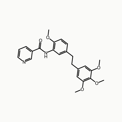 COc1ccc(CCc2cc(OC)c(OC)c(OC)c2)cc1NC(=O)c1cccnc1